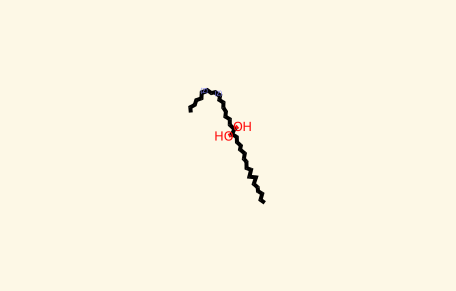 CCCCC/C=C\C/C=C\CCCCCCCC(O)C(O)CCCCCCCCCCCCCCCCC